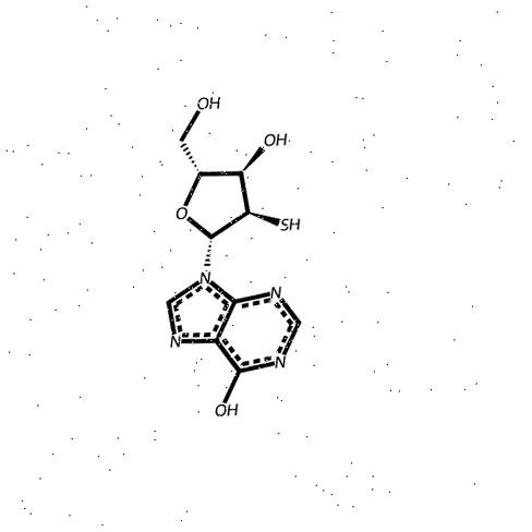 OC[C@H]1O[C@@H](n2cnc3c(O)ncnc32)[C@H](S)[C@@H]1O